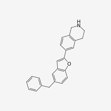 c1ccc(Cc2ccc3oc(-c4ccc5c(c4)CCNC5)cc3c2)cc1